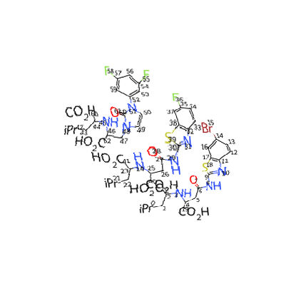 CC(C)CC(NC(CC(=O)Nc1nc2ccc(Br)cc2s1)C(=O)O)C(=O)O.CC(C)CC(NC(CC(=O)Nc1nc2ccc(F)cc2s1)C(=O)O)C(=O)O.CC(C)CC(NC(Cn1ccn(-c2cc(F)cc(F)c2)c1=O)C(=O)O)C(=O)O